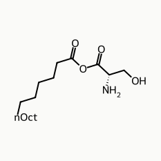 CCCCCCCCCCCCCC(=O)OC(=O)[C@@H](N)CO